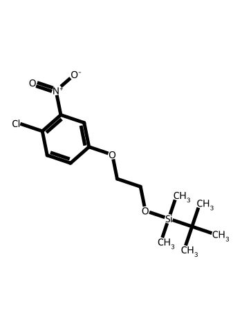 CC(C)(C)[Si](C)(C)OCCOc1ccc(Cl)c([N+](=O)[O-])c1